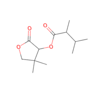 CC(C)C(C)C(=O)OC1C(=O)OCC1(C)C